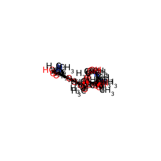 CC[C@H]1OC(=O)[C@H](C)[C@@H](O[C@H]2C[C@@](C)(OC)[C@@H](OCCCOCCOC/C=C/c3ccc4c(c3)c(=O)c(C(=O)O)cn4N(C)C)[C@H](C)O2)[C@H](C)[C@@H](O[C@@H]2O[C@H](C)C[C@H](N(C)C)[C@H]2O)[C@](C)(O)C[C@@H](C)CN(C)[C@H](C)[C@@H](O)[C@]1(C)O